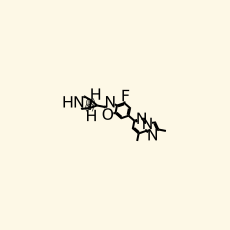 Cc1cn2nc(-c3cc(F)c4nc(C5[C@H]6CNC[C@@H]56)oc4c3)cc(C)c2n1